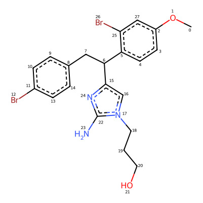 COc1ccc(C(Cc2ccc(Br)cc2)c2cn(CCCO)c(N)n2)c(Br)c1